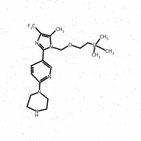 Cc1c(C(F)(F)F)nc(-c2ccc(N3CCNCC3)nc2)n1COCC[Si](C)(C)C